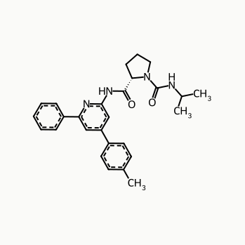 Cc1ccc(-c2cc(NC(=O)[C@@H]3CCCN3C(=O)NC(C)C)nc(-c3ccccc3)c2)cc1